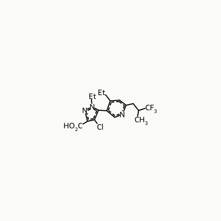 CCc1cc(CC(C)C(F)(F)F)ncc1-c1c(Cl)c(C(=O)O)nn1CC